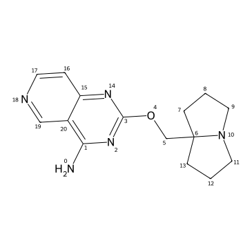 Nc1nc(OCC23CCCN2CCC3)nc2ccncc12